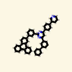 c1ccc(-c2cccc(-c3cc(-c4ccc(-c5cccnc5)cc4)nc(-c4cccc(-c5ccc6c7ccccc7c7ccccc7c6c5)c4)n3)c2)cc1